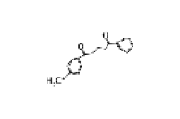 C=Cc1ccc(C(=O)CCCC(=O)c2ccccc2)cc1